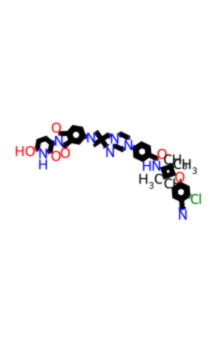 CC1(C)[C@H](NC(=O)c2ccc(N3CCN(CC4(C#N)CN(c5ccc6c(c5)C(=O)N(C5CCC(O)NC5=O)C6=O)C4)CC3)cc2)C(C)(C)[C@H]1Oc1ccc(C#N)c(Cl)c1